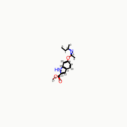 CCC(C)/N=C(/C)Oc1ccc2cc(C(=O)OC)[nH]c2c1